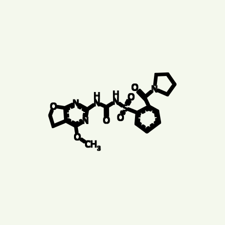 COc1nc(NC(=O)NS(=O)(=O)c2ccccc2C(=O)N2CCCC2)nc2c1CCO2